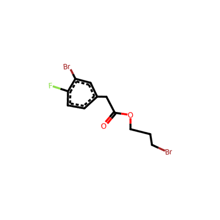 O=C(Cc1ccc(F)c(Br)c1)OCCCBr